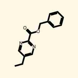 CCc1cnc(C(=O)OCc2ccccc2)nc1